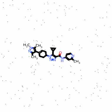 Cc1cc(NC(=O)c2nnn(C3CC=C(c4c(C)nn(C)c4C)CC3)c2C2CC2)ccn1